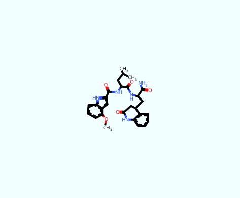 COc1cccc2[nH]c(C(=O)NC(CC(C)C)C(=O)NC(CC3CC(=O)Nc4ccccc43)C(N)=O)cc12